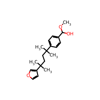 COC(O)c1ccc(C(C)(C)CCC(C)(C)c2ccoc2)cc1